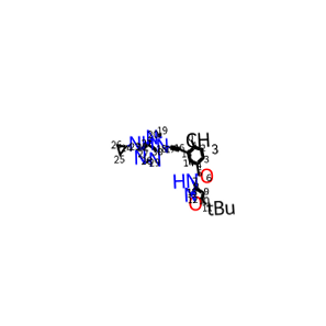 Cc1ccc(C(=O)Nc2cc(C(C)(C)C)on2)cc1C#Cn1cnc2c(NC3CC3)ncnc21